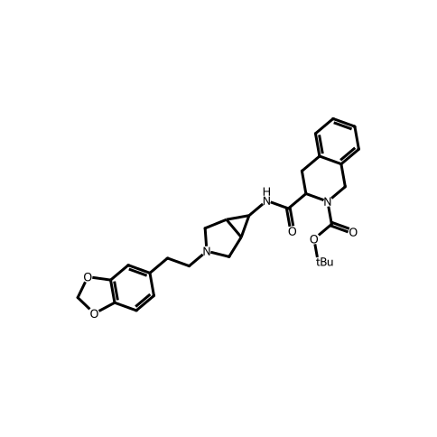 CC(C)(C)OC(=O)N1Cc2ccccc2CC1C(=O)NC1C2CN(CCc3ccc4c(c3)OCO4)CC21